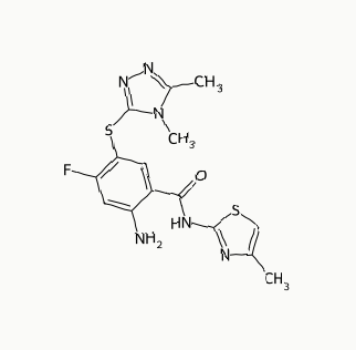 Cc1csc(NC(=O)c2cc(Sc3nnc(C)n3C)c(F)cc2N)n1